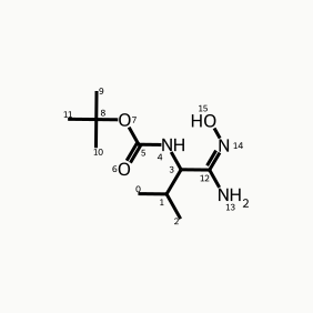 CC(C)C(NC(=O)OC(C)(C)C)/C(N)=N\O